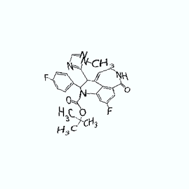 Cn1ncnc1C1C2=CCNC(=O)c3cc(F)cc(c32)N(C(=O)OC(C)(C)C)C1c1ccc(F)cc1